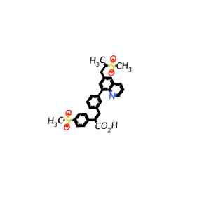 CC(Cc1cc(-c2cccc(C=C(C(=O)O)c3ccc(S(C)(=O)=O)cc3)c2)c2ncccc2c1)S(C)(=O)=O